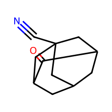 N#CC12CC3CC(C1)C(=O)C(C3)C2